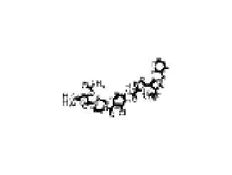 Cn1c(-c2cn(Cc3cccnc3)nc2C(F)(F)F)cnc1C(=O)Nc1ccc(C(=O)N2CCN(C(=O)C(CC(C)(C)C)OC(N)=O)CC2)c(Cl)c1